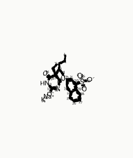 CCCC(C)C1(CC)C(=O)N=C([O-])NC1=O.O=S(=O)([O-])c1cccc2ccccc12.[K+].[Na+]